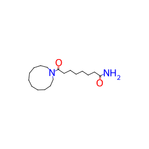 NC(=O)CCCCCCC(=O)N1CCCCCCCCCC1